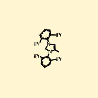 CC1=CN(c2c(C(C)C)cccc2C(C)C)CN1c1c(C(C)C)cccc1C(C)C